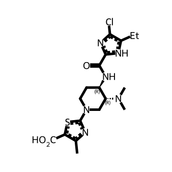 CCc1[nH]c(C(=O)N[C@@H]2CCN(c3nc(C)c(C(=O)O)s3)C[C@H]2N(C)C)nc1Cl